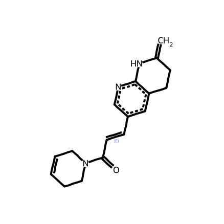 C=C1CCc2cc(/C=C/C(=O)N3CC=CCC3)cnc2N1